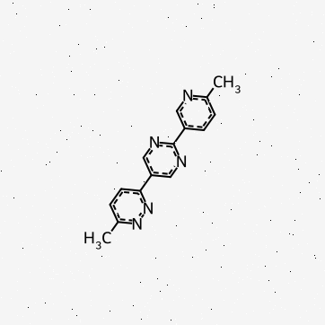 Cc1ccc(-c2ncc(-c3ccc(C)nn3)cn2)cn1